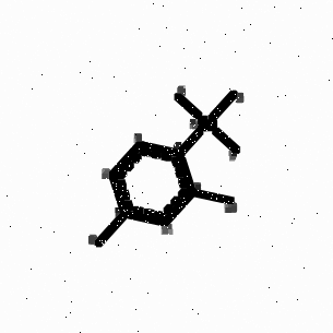 Cc1cc[c]([Sn]([CH3])([CH3])[CH3])c(C)c1